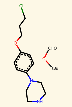 CC(C)(C)OC=O.ClCCCOc1ccc(N2CCNCC2)cc1